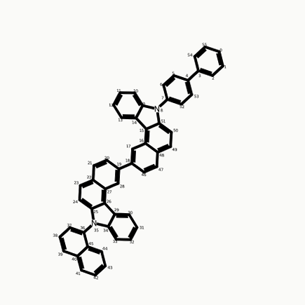 c1ccc(-c2ccc(-n3c4ccccc4c4c5cc(-c6ccc7ccc8c(c7c6)c6ccccc6n8-c6cccc7ccccc67)ccc5ccc43)cc2)cc1